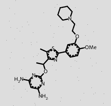 COc1ccc(-c2nc(C(C)Oc3nc(N)cc(N)n3)c(C)s2)cc1OCCN1CCCCC1